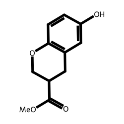 COC(=O)C1COc2ccc(O)cc2C1